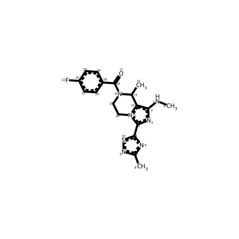 CNc1nc(-c2nc(C)ns2)n2c1C(C)N(C(=O)c1ccc(F)cc1)CC2